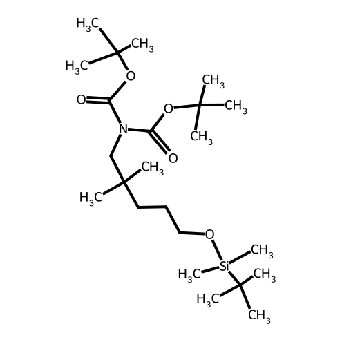 CC(C)(CCCO[Si](C)(C)C(C)(C)C)CN(C(=O)OC(C)(C)C)C(=O)OC(C)(C)C